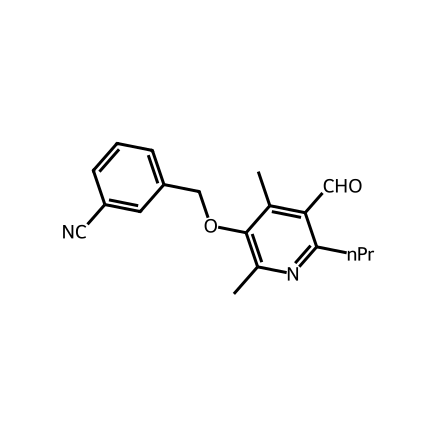 CCCc1nc(C)c(OCc2cccc(C#N)c2)c(C)c1C=O